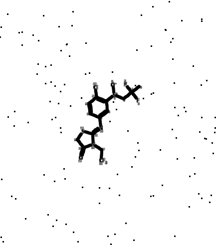 CC(F)(F)C[S+]([O-])c1cc(/N=C2\SCC(=O)N2CC(F)(F)F)ccc1Cl